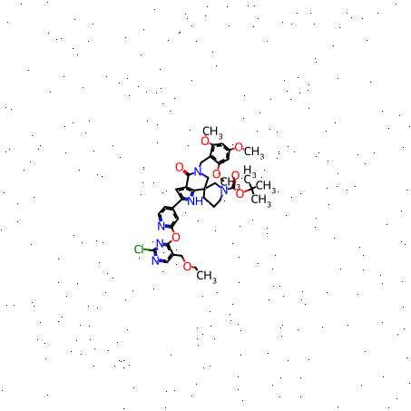 CCOCc1cnc(Cl)nc1Oc1cc(-c2cc3c([nH]2)C2(CCCN(C(=O)OC(C)(C)C)C2)CN(Cc2c(OC)cc(OC)cc2OC)C3=O)ccn1